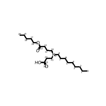 CCCCCCCCCN(CCCC(=O)OCCCCC)CCC(=O)O